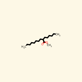 CCCCCCCCC(CCCCCC)C(=O)OC